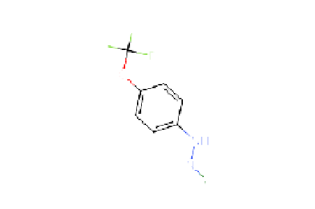 FC(F)(F)Oc1ccc(NNCl)cc1